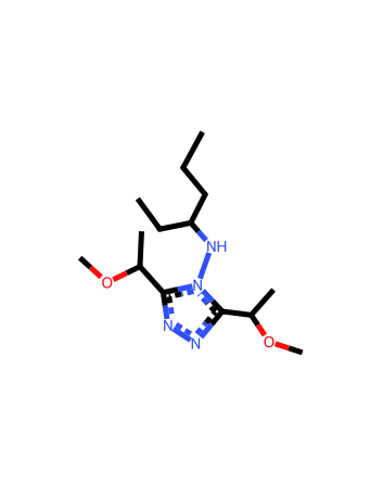 CCCC(CC)Nn1c(C(C)OC)nnc1C(C)OC